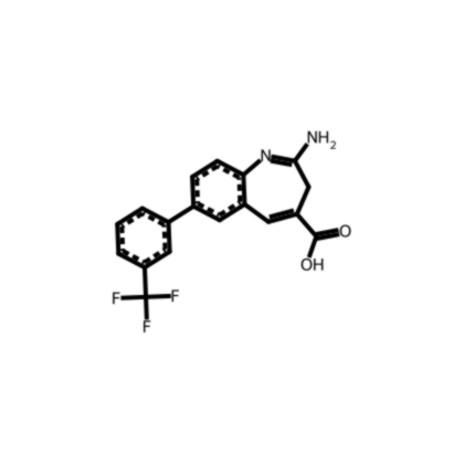 NC1=Nc2ccc(-c3cccc(C(F)(F)F)c3)cc2C=C(C(=O)O)C1